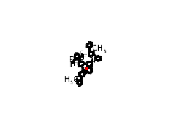 Cc1ccccc1-c1ccc2c(c1)c1ccccc1n2-c1ccc(C#N)c(-c2cc(-c3c(C(F)(F)F)cccc3C(F)(F)F)ccc2-n2c3ccccc3c3cc(-c4ccccc4C)ccc32)c1